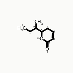 CCC(C)C1CC=CC(=O)O1